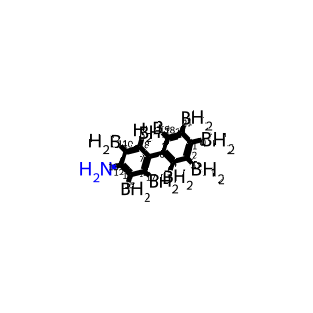 Bc1c(B)c(B)c(-c2c(B)c(B)c(N)c(B)c2B)c(B)c1B